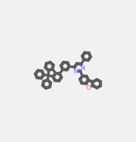 c1ccc(-c2cc(-c3cccc(-c4cccc5c4-c4ccccc4C5(c4ccccc4)c4ccccc4)c3)nc(-c3ccc4oc5ccccc5c4c3)n2)cc1